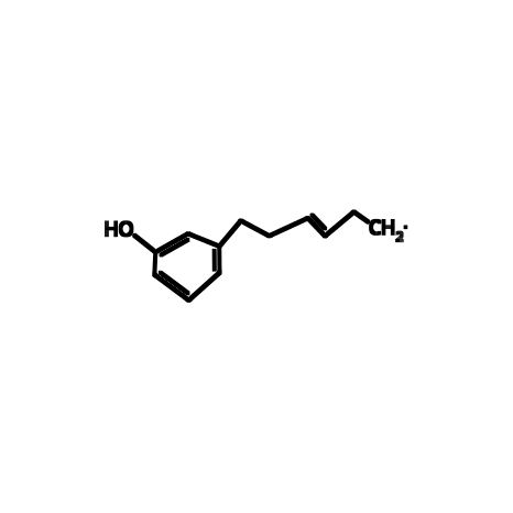 [CH2]CC=CCCc1cccc(O)c1